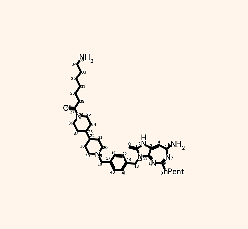 C=C1NC2=CC(N)N=C(CCCCC)N=C2N1Cc1ccc(CN2CCC(C3CCN(C(=O)CCCCCCN)CC3)CC2)cc1